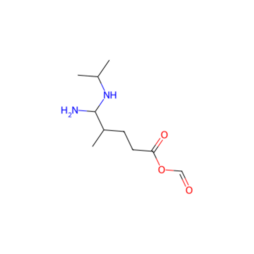 CC(C)NC(N)C(C)CCC(=O)OC=O